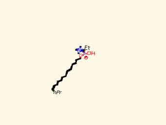 CCC/C=C\CCCCCCCCCCCOP(=O)(O)C(CC)[N+](C)(C)C